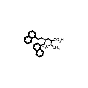 CN(C)C(CN(CCc1cccc2ccccc12)Cc1cccc2ccccc12)C(=O)O